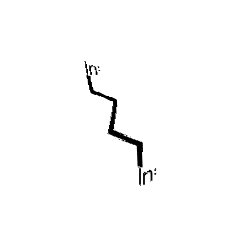 [In][CH2]CC[CH2][In]